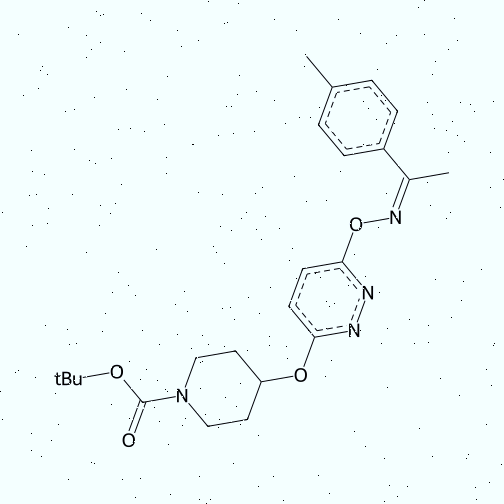 C/C(=N/Oc1ccc(OC2CCN(C(=O)OC(C)(C)C)CC2)nn1)c1ccc(C)cc1